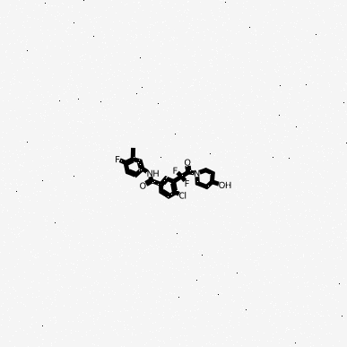 Cc1cc(NC(=O)c2ccc(Cl)c(C(F)(F)C(=O)N3CCC(O)CC3)c2)ccc1F